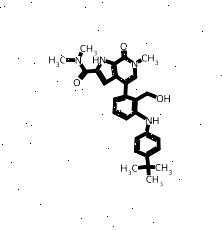 CN(C)C(=O)c1cc2c(-c3cccc(Nc4ccc(C(C)(C)C)cc4)c3CO)cn(C)c(=O)c2[nH]1